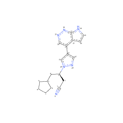 N#CC[C@@H](CC1CCCC1)n1cc(-c2cnnc3[nH]ccc23)cn1